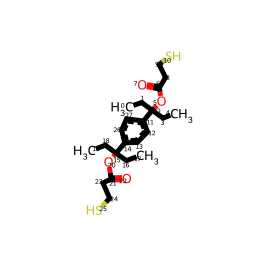 CCC(CC)(OC(=O)CCS)c1ccc(C(CC)(CC)OC(=O)CCS)cc1